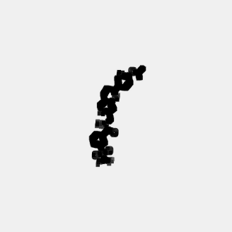 CC(C)Oc1ccc(-c2ccc3cnc(CNC(=O)c4cccc(S(=O)(=O)C(F)F)c4)cc3n2)cn1